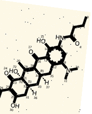 CCCC(=O)Nc1cc(N(C)C)c2c(c1O)C(=O)C1=C(C)[C@]3(O)C(=O)C(C(C)=O)=C(O)C[C@@H]3C[C@@H]1C2